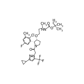 Cc1cc(F)cc([C@@H]2[C@H](OCCC(C)NC(=O)OC(C)(C)C)CCN2C(=O)Cn2nc(C3CC3)cc2C(F)(F)F)c1Cl